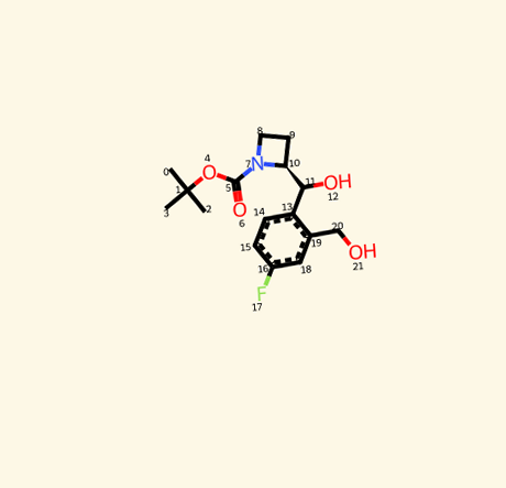 CC(C)(C)OC(=O)N1CC[C@H]1C(O)c1ccc(F)cc1CO